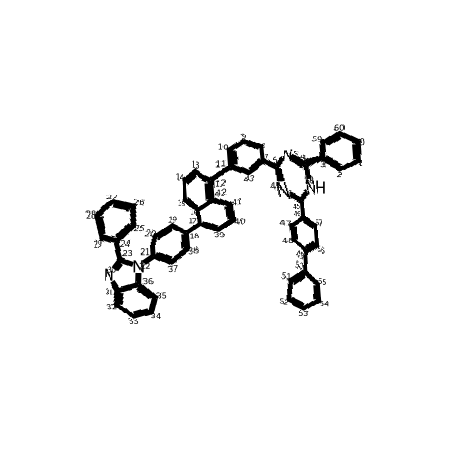 c1ccc(C2=NC(c3cccc(-c4cccc5c(-c6ccc(-n7c(-c8ccccc8)nc8ccccc87)cc6)cccc45)c3)=NC(c3ccc(-c4ccccc4)cc3)N2)cc1